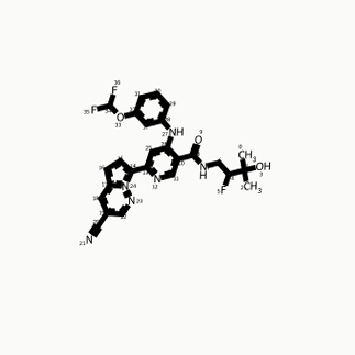 CC(C)(O)C(F)CNC(=O)c1cnc(-c2ccc3cc(C#N)cnn23)cc1Nc1cccc(OC(F)F)c1